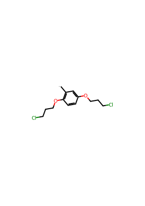 [CH2]c1cc(OCCCCl)ccc1OCCCCl